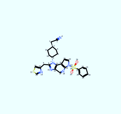 N#CC[C@H]1CC[C@H](n2c(Cc3cscn3)nc3cnc4c(ccn4S(=O)(=O)c4ccccc4)c32)CC1